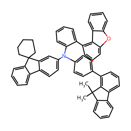 CC1(C)c2ccccc2-c2cccc(-c3ccc(N(c4ccc5c(c4)C4(CCCCC4)c4ccccc4-5)c4ccccc4-c4cccc5oc6ccccc6c45)cc3)c21